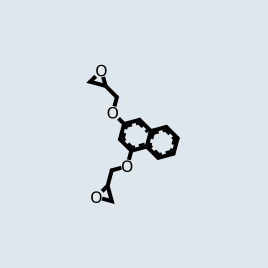 c1ccc2c(OCC3CO3)cc(OCC3CO3)cc2c1